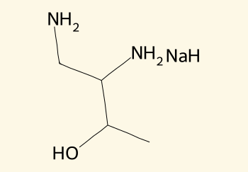 CC(O)C(N)CN.[NaH]